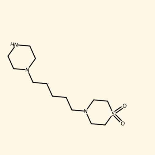 O=S1(=O)CCN(CCC[CH]CN2CCNCC2)CC1